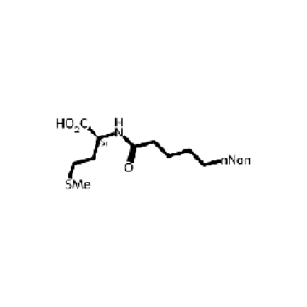 CCCCCCCCCCCCCC(=O)N[C@@H](CCSC)C(=O)O